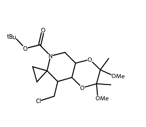 COC1(C)OC2CN(C(=O)OC(C)(C)C)C3(CC3)C(CCl)C2OC1(C)OC